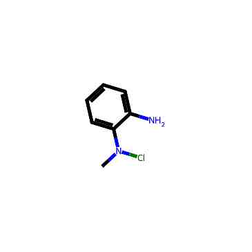 CN(Cl)c1ccccc1N